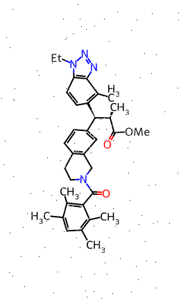 CCn1nnc2c(C)c([C@H](c3ccc4c(c3)CN(C(=O)c3c(C)c(C)cc(C)c3C)CC4)[C@@H](C)C(=O)OC)ccc21